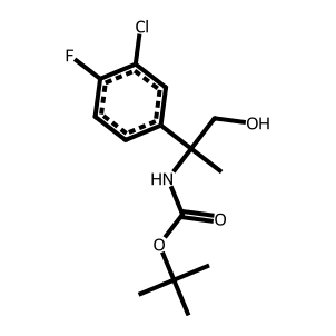 CC(C)(C)OC(=O)NC(C)(CO)c1ccc(F)c(Cl)c1